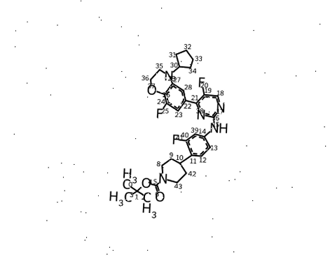 CC(C)(C)OC(=O)N1CCC(c2ccc(Nc3ncc(F)c(-c4cc(F)c5c(c4)N(C4CCCC4)CCO5)n3)cc2F)CC1